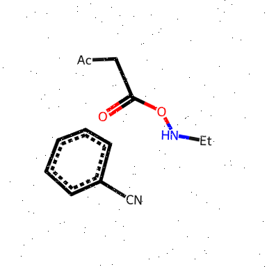 CCNOC(=O)CC(C)=O.N#Cc1ccccc1